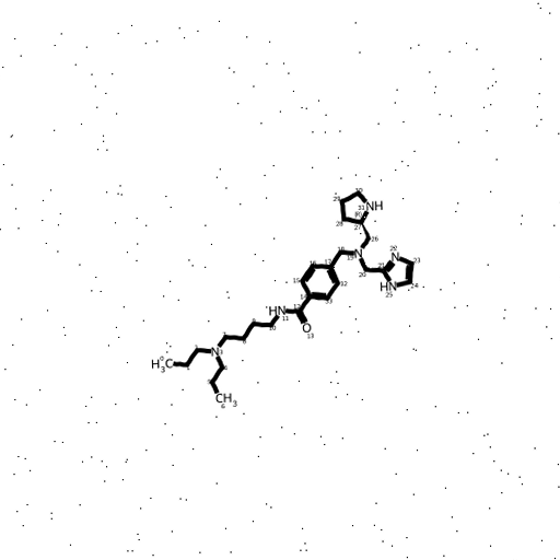 CCCN(CCC)CCCCNC(=O)c1ccc(CN(Cc2ncc[nH]2)C[C@H]2CCCN2)cc1